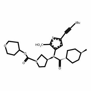 CC(C)(C)C#Cc1cc(N(C(=O)[C@H]2CC[C@H](C)CC2)[C@H]2CCN(C(=O)OC3CCOCC3)C2)c(C(=O)O)s1